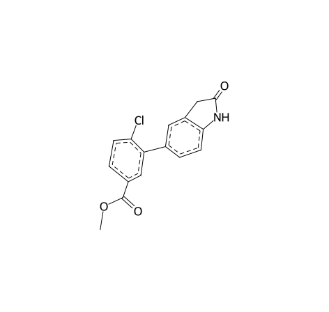 COC(=O)c1ccc(Cl)c(-c2ccc3c(c2)CC(=O)N3)c1